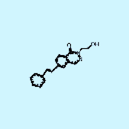 O=c1c2ccc(C=Cc3ccccc3)cc2cnn1CCO